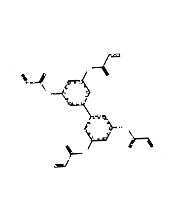 C=CC(=O)Oc1cc(OC(=O)C=C)cc(-c2cc(OC(=O)C=C)cc(OC(=O)C=C)c2)c1